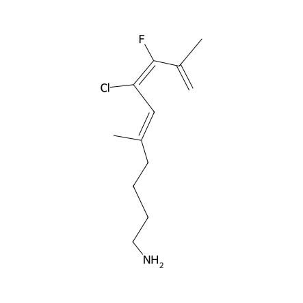 C=C(C)/C(F)=C(Cl)\C=C(/C)CCCCN